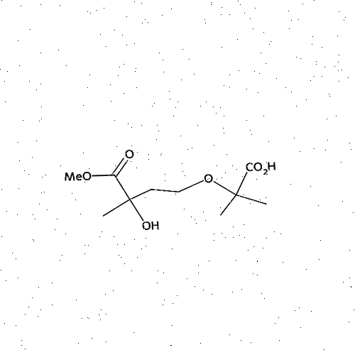 COC(=O)C(C)(O)CCOC(C)(C)C(=O)O